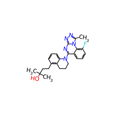 Cc1nnc2nc(N3CCCc4c(CCC(C)(C)O)cccc43)c3cccc(F)c3n12